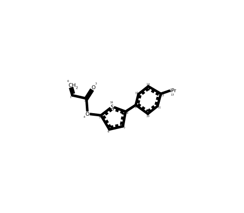 C=CC(=O)Oc1ccc(-c2ccc(C(C)C)cc2)s1